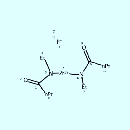 CCCC(=O)[N](CC)[Zr+2][N](CC)C(=O)CCC.[F-].[F-]